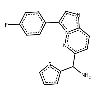 NC(c1ccc2ncc(-c3ccc(F)cc3)n2n1)c1cccs1